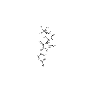 O=C1C(=Cc2cc[n+]([O-])cc2)SC(=S)N1c1cccc(C(F)(F)F)c1